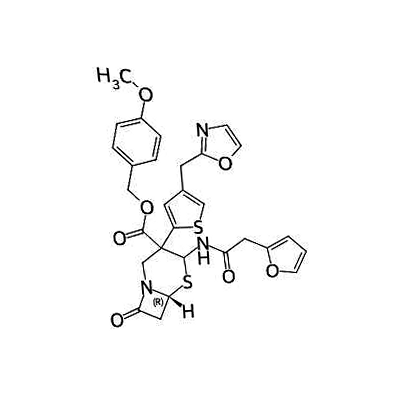 COc1ccc(COC(=O)C2(c3cc(Cc4ncco4)cs3)CN3C(=O)C[C@H]3SC2NC(=O)Cc2ccco2)cc1